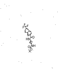 CC(C)(C)OC(=O)NC12CC(NC(=O)c3ccc4cc(C(F)(F)F)ccc4n3)(C1)C2